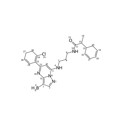 Bc1cnn2c(NCCCNC(=O)C(C)C3C=CC=CC3)cc(C3=C(Cl)CCC=C3)nc12